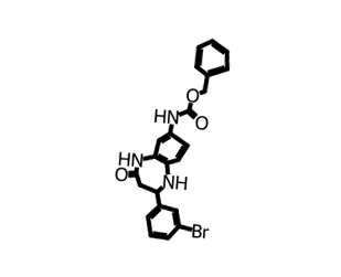 O=C1CC(c2cccc(Br)c2)Nc2ccc(NC(=O)OCc3ccccc3)cc2N1